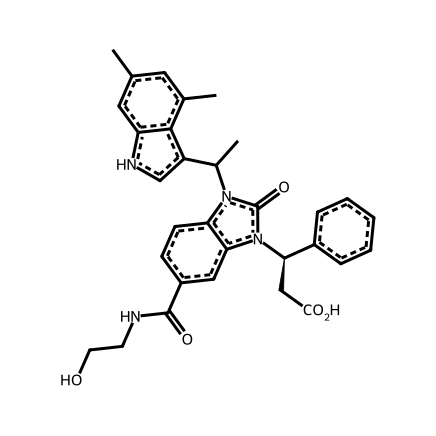 Cc1cc(C)c2c(C(C)n3c(=O)n([C@H](CC(=O)O)c4ccccc4)c4cc(C(=O)NCCO)ccc43)c[nH]c2c1